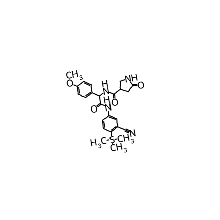 COc1ccc(C(NC(=O)C2CNC(=O)C2)C(=O)Nc2ccc(S(C)(C)C)c(C#N)c2)cc1